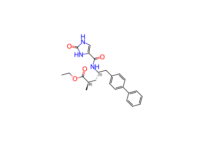 CCOC(=O)[C@H](C)C[C@@H](Cc1ccc(-c2ccccc2)cc1)NC(=O)c1c[nH]c(=O)[nH]1